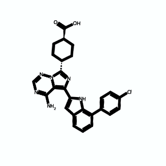 Nc1ncnn2c1c(-c1cc3cccc(-c4ccc(Cl)cc4)c3[nH]1)nc2[C@H]1CC[C@H](C(=O)O)CC1